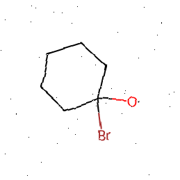 [O]C1(Br)CCCCC1